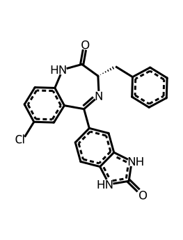 O=C1Nc2ccc(Cl)cc2C(c2ccc3[nH]c(=O)[nH]c3c2)=N[C@H]1Cc1ccccc1